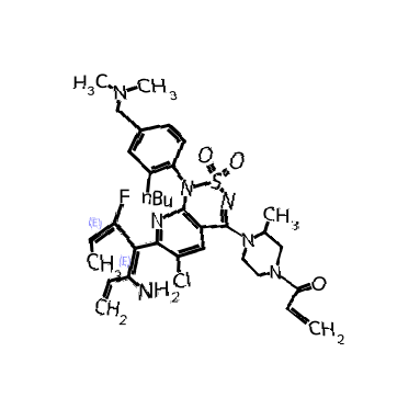 C=CC(=O)N1CCN(C2=NS(=O)(=O)N(c3ccc(CN(C)C)cc3CCCC)c3nc(C(/C(F)=C\C)=C(\N)C=C)c(Cl)cc32)C(C)C1